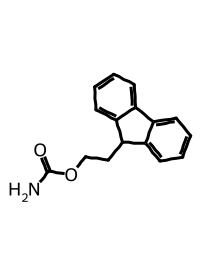 NC(=O)OCCC1c2ccccc2-c2ccccc21